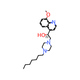 CCCCCCCN1CCN(C[C@@H](O)c2ccnc3c(OC)cccc23)CC1